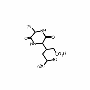 CCCCC(CC)CC(CC(=O)O)C1NC(=O)C(C(C)C)NC1=O